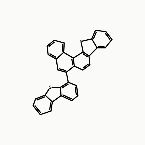 c1ccc2c(c1)cc(-c1cccc3c1sc1ccccc13)c1ccc3c4ccccc4sc3c12